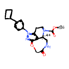 CC(C)(C)OC(=O)N1CCc2c3c(nn2-c2ccc(C4CCC4)cc2)OCC(=O)NC[C@@H]31